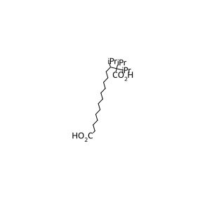 CC(C)C(CCCCCCCCCCCCC(=O)O)C(C(=O)O)(C(C)C)C(C)C